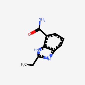 NC(=O)c1cccc2nc(CC(F)(F)F)[nH]c12